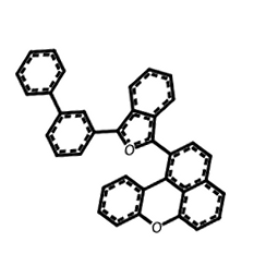 c1ccc(-c2cccc(-c3oc(-c4ccc5cccc6c5c4-c4ccccc4O6)c4ccccc34)c2)cc1